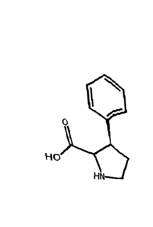 O=C(O)C1NCC[C@@H]1c1ccccc1